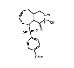 COc1ccc(S(=O)(=O)N2CC=CCC(COC(C)=O)C2C(=O)NO)cc1